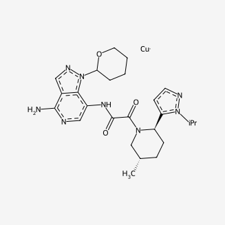 CC(C)n1nccc1[C@H]1CC[C@H](C)CN1C(=O)C(=O)Nc1cnc(N)c2cnn(C3CCCCO3)c12.[Cu]